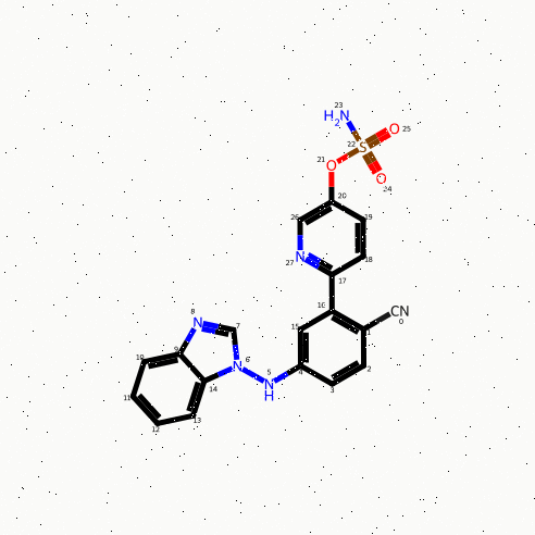 N#Cc1ccc(Nn2cnc3ccccc32)cc1-c1ccc(OS(N)(=O)=O)cn1